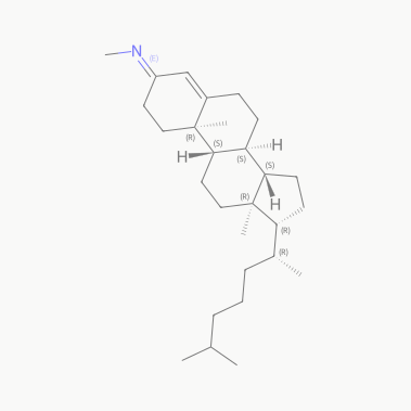 C/N=C1/C=C2CC[C@H]3[C@@H]4CC[C@H]([C@H](C)CCCC(C)C)[C@@]4(C)CC[C@@H]3[C@@]2(C)CC1